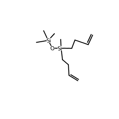 C=CCC[Si](C)(CCC=C)O[Si](C)(C)C